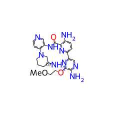 COCCOc1nc(-c2ccc(N)c(C(=O)Nc3cnccc3N3CCC[C@H](N)C3)n2)cnc1N